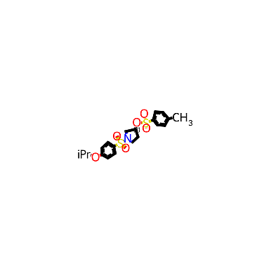 Cc1ccc(S(=O)(=O)O[C@@H]2CCN(S(=O)(=O)c3ccc(OC(C)C)cc3)C2)cc1